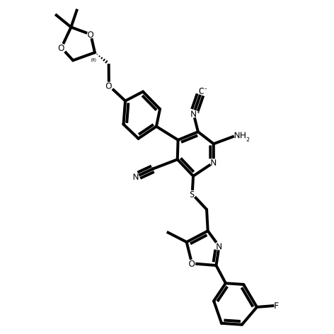 [C-]#[N+]c1c(N)nc(SCc2nc(-c3cccc(F)c3)oc2C)c(C#N)c1-c1ccc(OC[C@@H]2COC(C)(C)O2)cc1